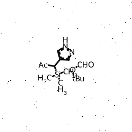 CC(=O)C(c1cn[nH]c1)[Si](C)(C)C.CC(C)(C)OC=O